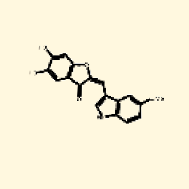 COc1ccc2[nH]cc(C=C3Oc4cc(O)c(O)cc4C3=O)c2c1